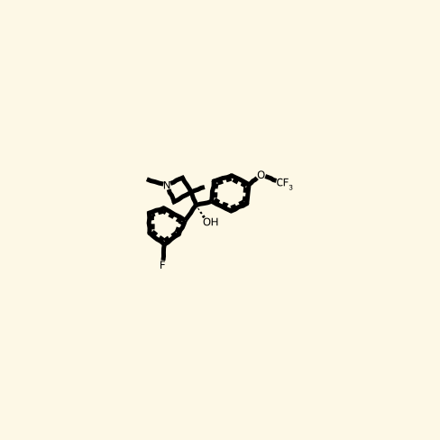 CN1CC(C)([C@@](O)(c2ccc(OC(F)(F)F)cc2)c2cccc(F)c2)C1